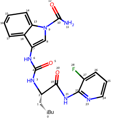 CC[C@@H](C)C[C@H](NC(=O)Nc1cn(C(N)=O)c2ccccc12)C(=O)Nc1ncccc1F